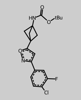 CC(C)(C)OC(=O)NC12CC(c3cc(-c4ccc(Cl)c(F)c4)no3)(C1)C2